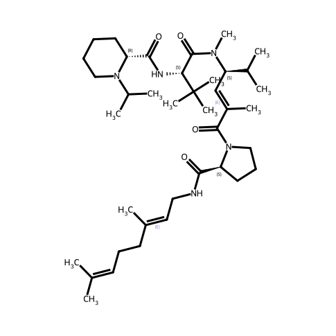 CC(C)=CCC/C(C)=C/CNC(=O)[C@@H]1CCCN1C(=O)/C(C)=C/[C@H](C(C)C)N(C)C(=O)[C@@H](NC(=O)[C@H]1CCCCN1C(C)C)C(C)(C)C